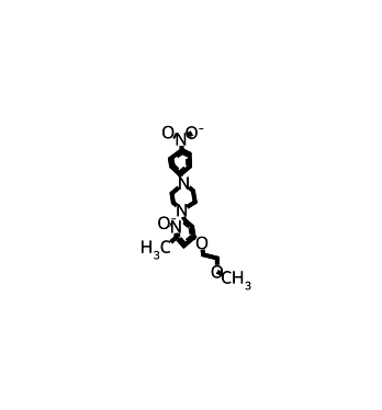 COCCOc1cc(C)[n+]([O-])c(N2CCN(c3ccc([N+](=O)[O-])cc3)CC2)c1